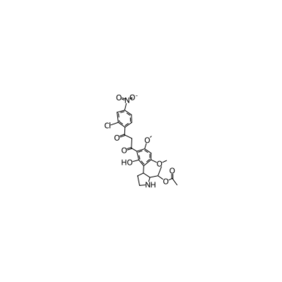 COc1cc(OC)c(C2CCNC2C(C)OC(C)=O)c(O)c1C(=O)CC(=O)c1ccc([N+](=O)[O-])cc1Cl